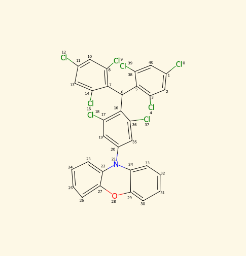 Clc1cc(Cl)c(C(c2c(Cl)cc(Cl)cc2Cl)c2c(Cl)cc(N3c4ccccc4Oc4ccccc43)cc2Cl)c(Cl)c1